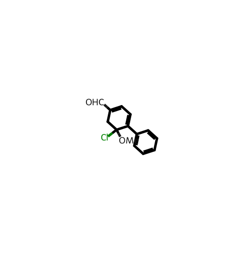 COC1(Cl)CC(C=O)=CC=C1c1ccccc1